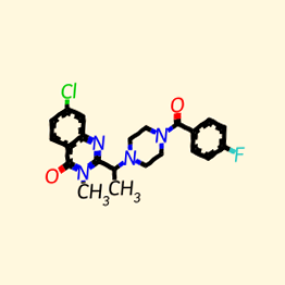 CC(c1nc2cc(Cl)ccc2c(=O)n1C)N1CCN(C(=O)c2ccc(F)cc2)CC1